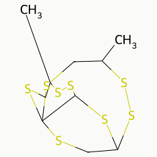 CC1CSC23SCC(C)SSC2SC(CS3)SS1